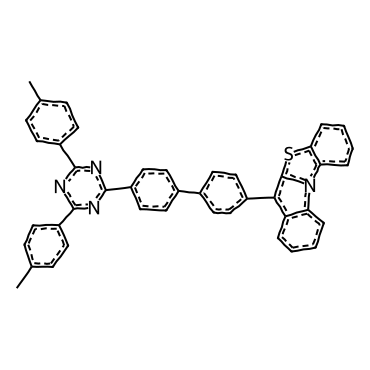 Cc1ccc(-c2nc(-c3ccc(C)cc3)nc(-c3ccc(-c4ccc(-c5c6ccccc6n6c5sc5ccccc56)cc4)cc3)n2)cc1